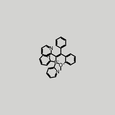 C[O+]1c2ccccc2C(c2ccccc2)=C(c2ccccn2)[B-]1(c1ccccn1)c1ccccn1